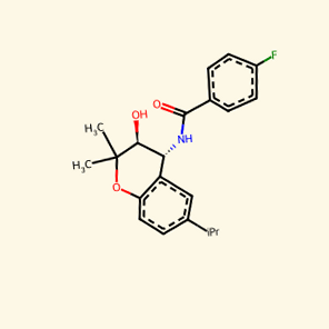 CC(C)c1ccc2c(c1)[C@@H](NC(=O)c1ccc(F)cc1)[C@H](O)C(C)(C)O2